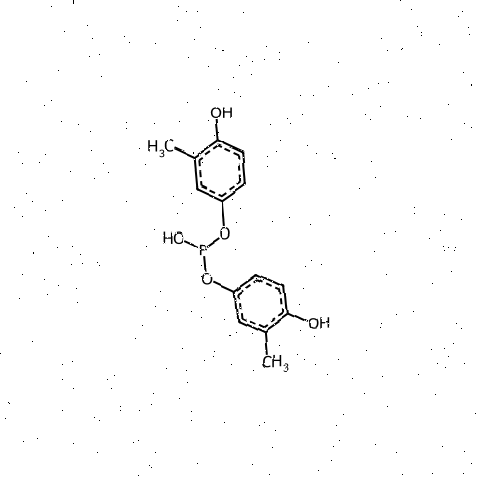 Cc1cc(OP(O)Oc2ccc(O)c(C)c2)ccc1O